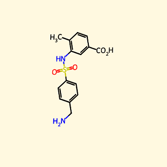 Cc1ccc(C(=O)O)cc1NS(=O)(=O)c1ccc(CN)cc1